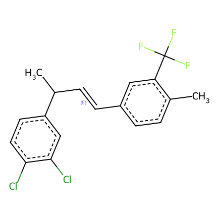 Cc1ccc(/C=C/C(C)c2ccc(Cl)c(Cl)c2)cc1C(F)(F)F